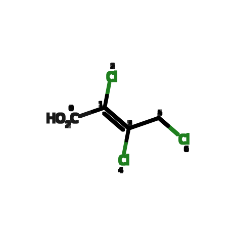 O=C(O)C(Cl)=C(Cl)CCl